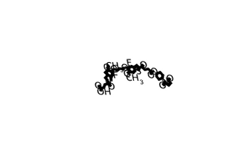 COc1cc2c(c(F)c1OCCCOc1c(OC)cc3sc(C(=O)CCC(=O)O[C@H]4CC[C@H](N5C(=O)C=CC5=O)CC4)cc3c1F)CN(C(=O)CCC(=O)O)C2